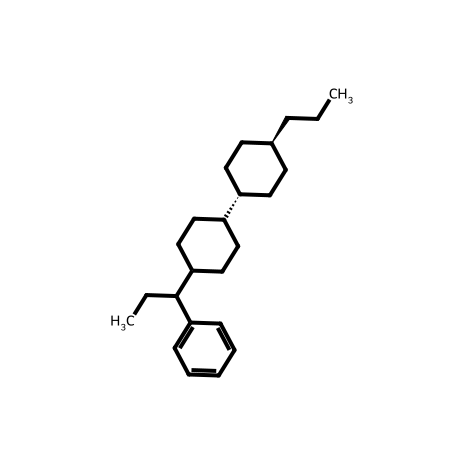 CCC[C@H]1CC[C@H](C2CCC(C(CC)c3ccccc3)CC2)CC1